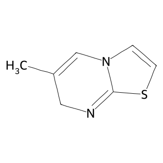 CC1=CN2C=CSC2=NC1